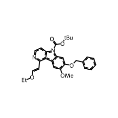 CCO/C=C/c1nccc2c1c1cc(OC)c(OCc3ccccc3)cc1n2C(=O)OC(C)(C)C